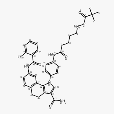 CC(C)(C)C(=O)ONCCCCC(=O)[AsH]c1ccc(-n2nc(C(N)=O)c3c2-c2cc(NC(=O)c4ccccc4Cl)ccc2CC3)cc1